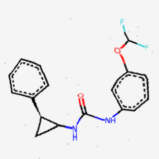 O=C(Nc1cccc(OC(F)F)c1)NC1C[C@H]1c1ccccc1